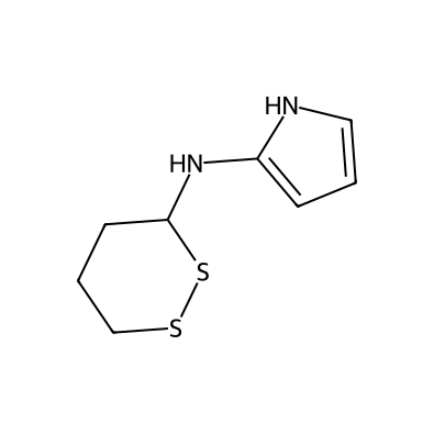 c1c[nH]c(NC2CCCSS2)c1